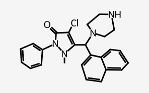 Cn1c(C(c2cccc3ccccc23)N2CCNCC2)c(Cl)c(=O)n1-c1ccccc1